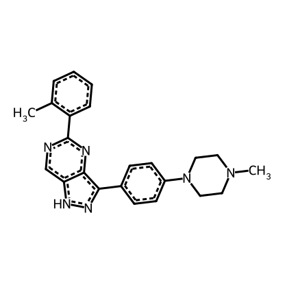 Cc1ccccc1-c1ncc2[nH]nc(-c3ccc(N4CCN(C)CC4)cc3)c2n1